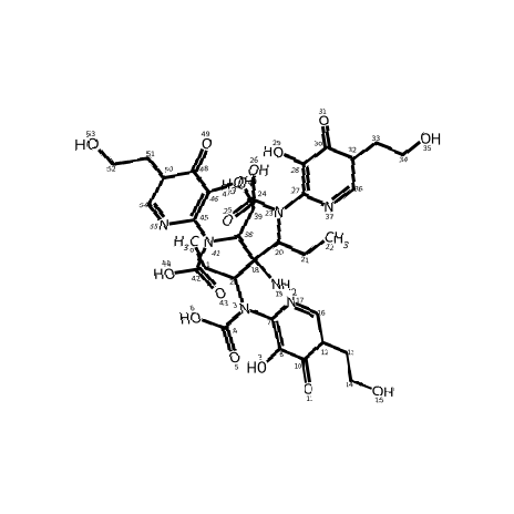 CCC(N(C(=O)O)C1=C(O)C(=O)C(CCO)C=N1)C(N)(C(CC)N(C(=O)O)C1=C(O)C(=O)C(CCO)C=N1)C(CC)N(C(=O)O)C1=C(O)C(=O)C(CCO)C=N1